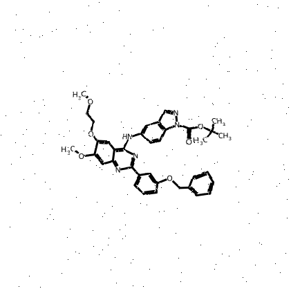 COCCOc1cc2c(Nc3ccc4c(cnn4C(=O)OC(C)(C)C)c3)nc(-c3cccc(OCc4ccccc4)c3)nc2cc1OC